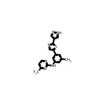 Cc1cc(Nc2nccc(C(F)(F)F)n2)cc(-c2cnc(-c3cn[nH]c3)s2)c1